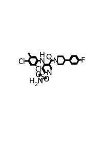 Cc1cc(Nc2cc(S(N)(=O)=O)ncc2C(=O)N2CCC(c3ccc(F)cc3)CC2)c(Cl)cc1Cl